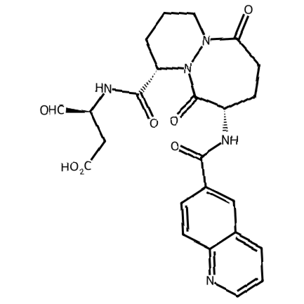 O=C[C@H](CC(=O)O)NC(=O)[C@@H]1CCCN2C(=O)CC[C@H](NC(=O)c3ccc4ncccc4c3)C(=O)N12